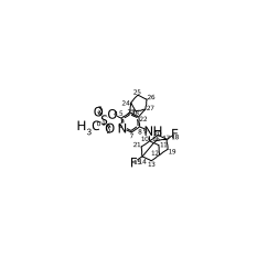 CS(=O)(=O)Oc1ncc(NC23CC4CC(F)(CC(F)(C4)C2)C3)c2c1C1CCC2C1